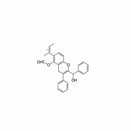 C/C=C(/C)c1ccc2c(c1OC=O)CC(c1ccccc1)=C(C(O)c1ccccc1)O2